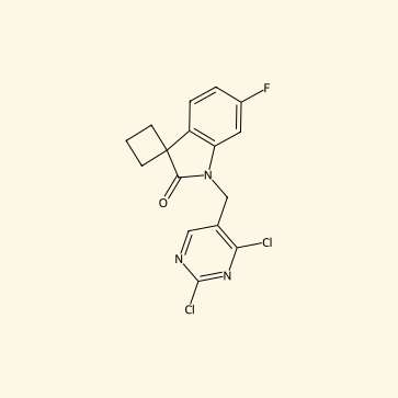 O=C1N(Cc2cnc(Cl)nc2Cl)c2cc(F)ccc2C12CCC2